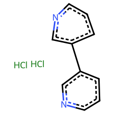 Cl.Cl.c1cncc(-c2cccnc2)c1